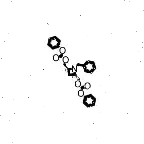 O=C(OC[C@@H]1C[C@@H](COC(=O)Oc2ccccc2)N1Cc1ccccc1)Oc1ccccc1